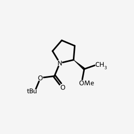 COC(C)[C@@H]1CCCN1C(=O)OC(C)(C)C